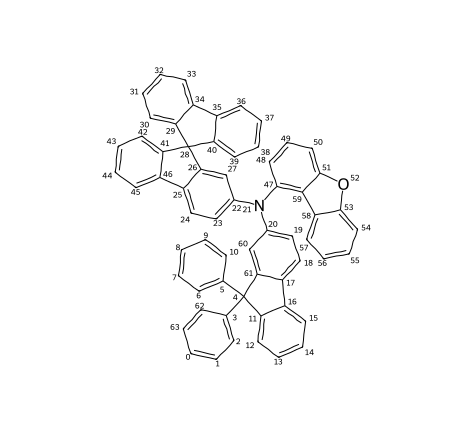 c1ccc(C2(c3ccccc3)c3ccccc3-c3ccc(N(c4ccc5c(c4)C4(c6ccccc6-c6ccccc64)c4ccccc4-5)c4cccc5oc6ccccc6c45)cc32)cc1